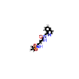 CC(C)(C)S(=O)(=O)NCCCCC(=O)NCc1nccc2ccccc12